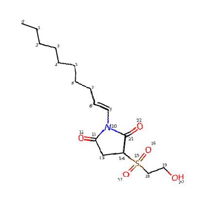 CCCCCCCC/C=C/N1C(=O)CC(S(=O)(=O)CCO)C1=O